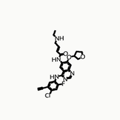 C#Cc1cc(Nc2ncnc3cc(OC4CCOC4)c(NC(=O)C=CCNCC)cc23)c(F)cc1Cl